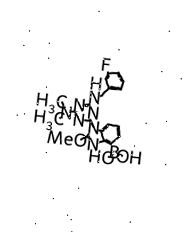 COc1nc2c(B(O)O)cccc2n1-c1nc(NCc2cccc(F)c2)nc(N(C)C)n1